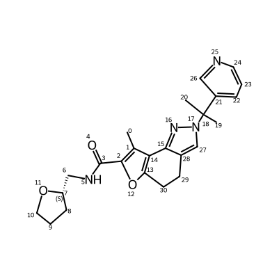 Cc1c(C(=O)NC[C@@H]2CCCO2)oc2c1-c1nn(C(C)(C)c3cccnc3)cc1CC2